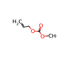 [CH]OC(=O)OCC=C